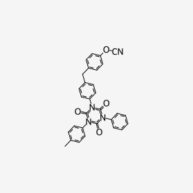 Cc1ccc(-n2c(=O)n(-c3ccccc3)c(=O)n(-c3ccc(Cc4ccc(OC#N)cc4)cc3)c2=O)cc1